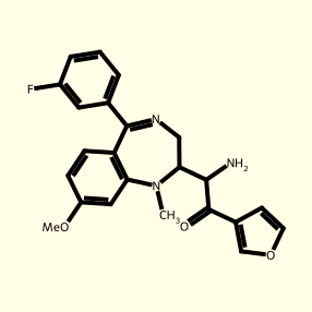 COc1ccc2c(c1)N(C)C(C(N)C(=O)c1ccoc1)CN=C2c1cccc(F)c1